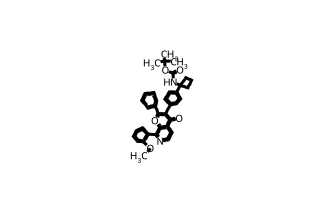 COc1ccccc1-c1nccc2c(=O)c(-c3ccc(C4(NC(=O)OC(C)(C)C)CCC4)cc3)c(-c3ccccc3)oc12